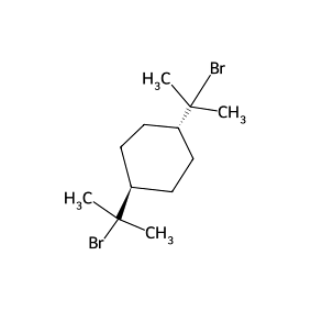 CC(C)(Br)[C@H]1CC[C@H](C(C)(C)Br)CC1